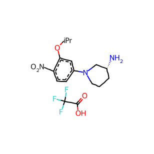 CC(C)Oc1cc(N2CCC[C@@H](N)C2)ccc1[N+](=O)[O-].O=C(O)C(F)(F)F